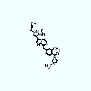 C#CCn1cc(-c2cnc3c(Cc4ccc(C(=O)N5CC[C@@H](C)C5)c(C)c4)nccn23)c(C(F)(F)F)n1